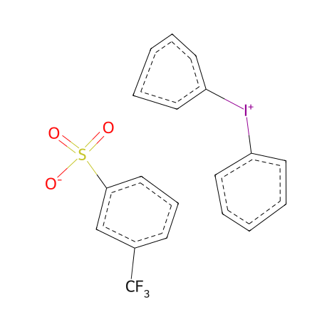 O=S(=O)([O-])c1cccc(C(F)(F)F)c1.c1ccc([I+]c2ccccc2)cc1